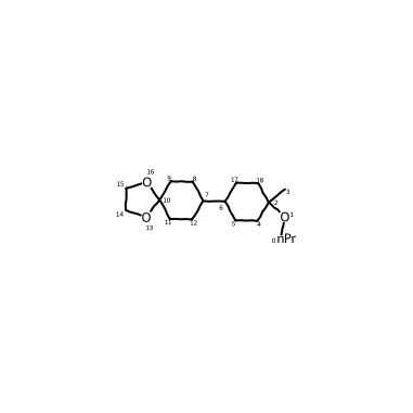 CCCOC1(C)CCC(C2CCC3(CC2)OCCO3)CC1